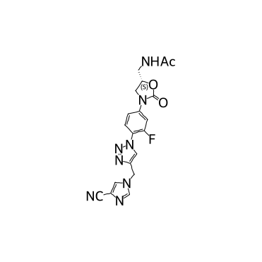 CC(=O)NC[C@H]1CN(c2ccc(-n3cc(Cn4cnc(C#N)c4)nn3)c(F)c2)C(=O)O1